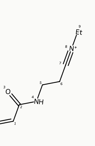 C=CC(=O)NCCC#[N+]CC